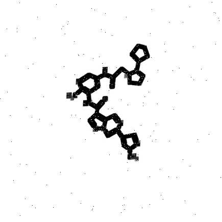 Cc1ncc(NC(=O)C[C@@H]2CCCN2C2CCCC2)cc1NC(=O)c1cnn2cc(-c3cnn(C)c3)ncc12